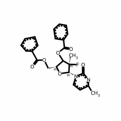 Cc1ccn([C@@H]2O[C@H](COC(=O)c3ccccc3)C(OC(=O)c3ccccc3)[C@@]2(C)F)c(=O)n1